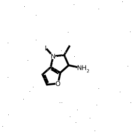 CC1C(N)c2occc2N1I